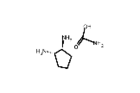 NC(=O)O.N[C@H]1CCC[C@@H]1N